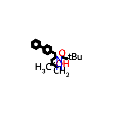 C=C(O)[C@H](C)CC(Cc1ccc(-c2ccccc2)cc1)NC(=O)CC(C)(C)C